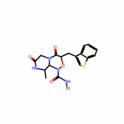 CCNC(=O)N1OC(Cc2csc3ccccc23)C(=O)N2CC(=O)NC(C)C21